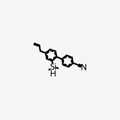 C=CCc1ccc(-c2ccc(C#N)cc2)c([SiH](C)C)c1